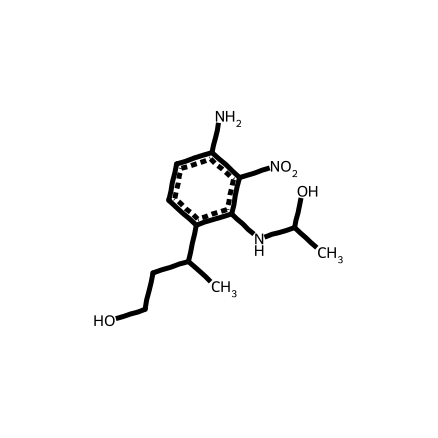 CC(O)Nc1c(C(C)CCO)ccc(N)c1[N+](=O)[O-]